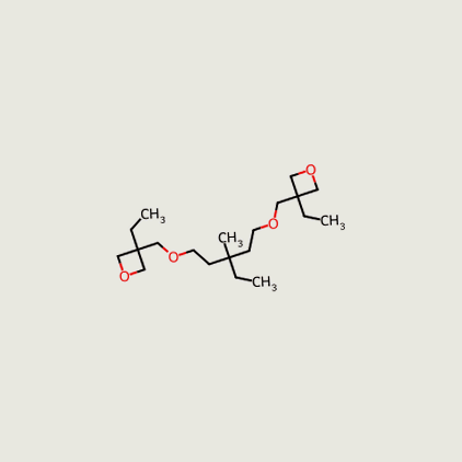 CCC(C)(CCOCC1(CC)COC1)CCOCC1(CC)COC1